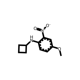 COc1ccc(NC2CCC2)c([N+](=O)[O-])c1